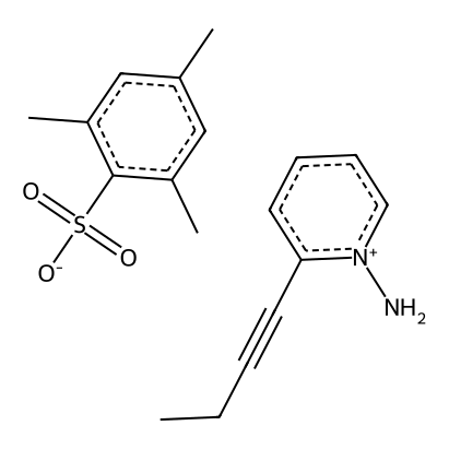 CCC#Cc1cccc[n+]1N.Cc1cc(C)c(S(=O)(=O)[O-])c(C)c1